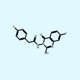 CCCc1nc2cc(F)ccc2c(=O)n1NC(=O)Cc1ccc(F)cc1